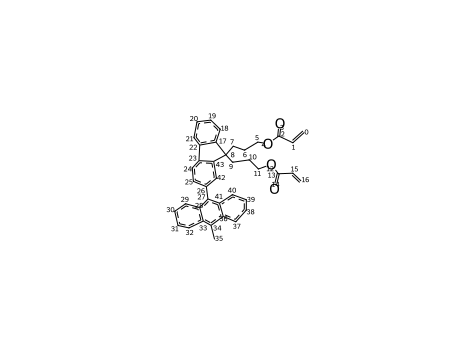 C=CC(=O)OCCCC1(CCCOC(=O)C=C)c2ccccc2-c2ccc(-c3c4ccccc4c(C)c4ccccc34)cc21